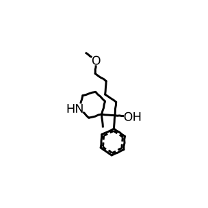 COCCCCC(O)(c1ccccc1)C1(C)CCCNC1